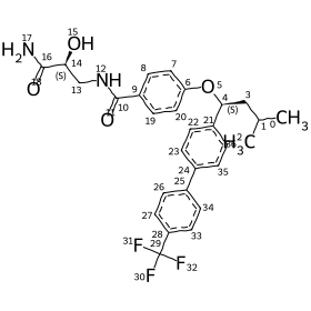 CC(C)C[C@H](Oc1ccc(C(=O)NC[C@H](O)C(N)=O)cc1)c1ccc(-c2ccc(C(F)(F)F)cc2)cc1